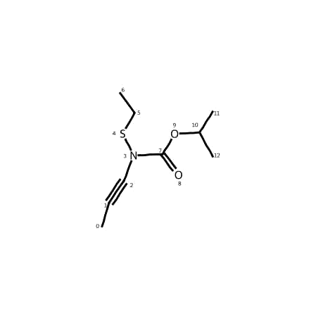 CC#CN(SCC)C(=O)OC(C)C